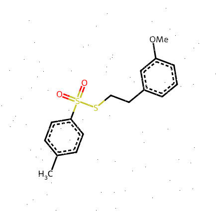 COc1cccc(CCSS(=O)(=O)c2ccc(C)cc2)c1